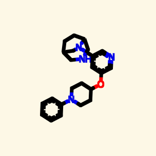 c1ccc(N2CCC(Oc3cncc(N4CC5CCC4CNC5)c3)CC2)cc1